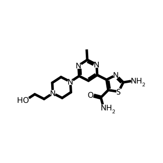 Cc1nc(-c2nc(N)sc2C(N)=O)cc(N2CCN(CCO)CC2)n1